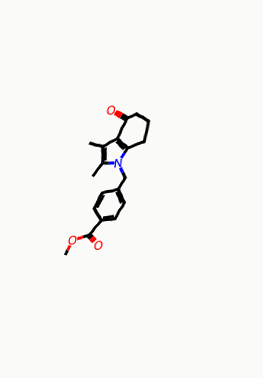 COC(=O)c1ccc(Cn2c(C)c(C)c3c2CCCC3=O)cc1